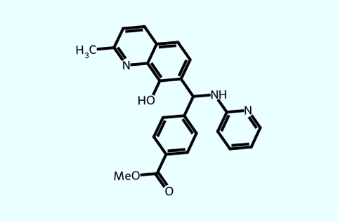 COC(=O)c1ccc(C(Nc2ccccn2)c2ccc3ccc(C)nc3c2O)cc1